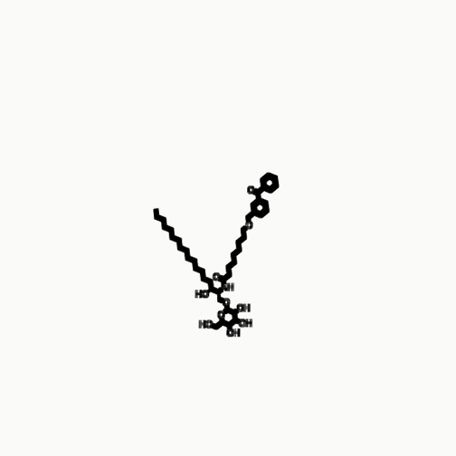 CCCCCCCCCCCCCCC[C@@H](O)[C@H](COC1OC(CO)C(O)C(O)C1O)NC(=O)CCCCCCCCOCc1cccc(C(=O)c2ccccc2)c1